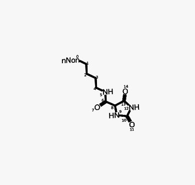 CCCCCCCCCCCCCNC(=O)C1NC(=O)NC1=O